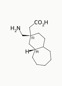 NC[C@@]1(CC(=O)O)CCC2CCCCC[C@@H]2C1